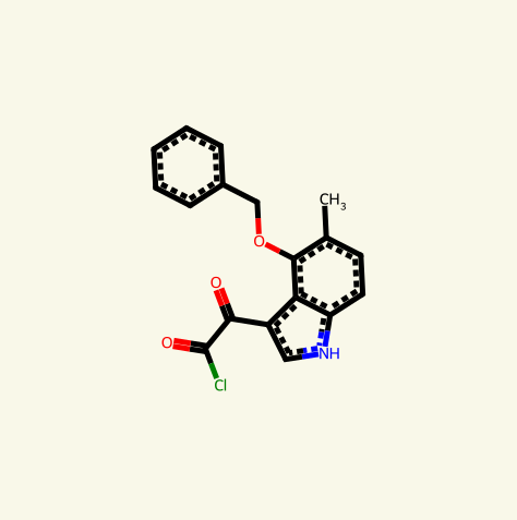 Cc1ccc2[nH]cc(C(=O)C(=O)Cl)c2c1OCc1ccccc1